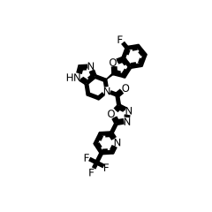 O=C(c1nnc(-c2ccc(C(F)(F)F)cn2)o1)N1CCc2[nH]cnc2[C@H]1c1cc2cccc(F)c2o1